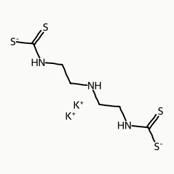 S=C([S-])NCCNCCNC(=S)[S-].[K+].[K+]